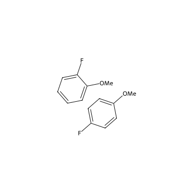 COc1ccc(F)cc1.COc1ccccc1F